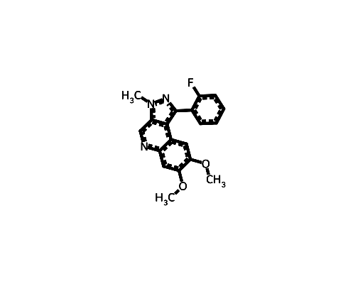 COc1cc2ncc3c(c(-c4ccccc4F)nn3C)c2cc1OC